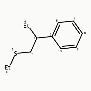 CCSCC(CC)c1ccccc1